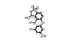 N#Cc1cc(F)cc(Oc2ccc3c(c2CF)C(O)CS3(=O)=O)c1